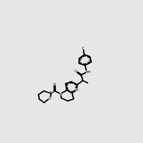 CC(C(=O)Nc1ccc(F)cc1)c1ccc2c(n1)CCCN2C(=O)[C@@H]1CCCCO1